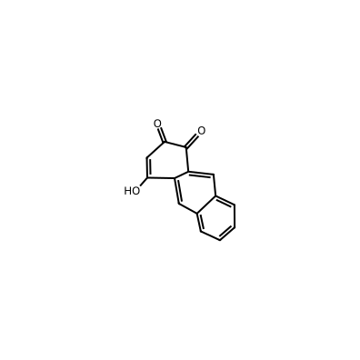 O=C1C=C(O)c2cc3ccccc3cc2C1=O